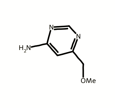 COCc1cc(N)ncn1